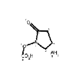 O=C(O)ON1CCCC1=O.[AlH3]